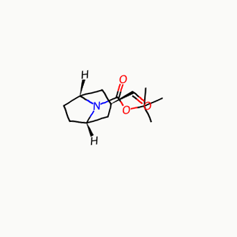 CC(C)(C)OC(=O)N1[C@@H]2CC[C@H]1C[C@H](C=O)C2